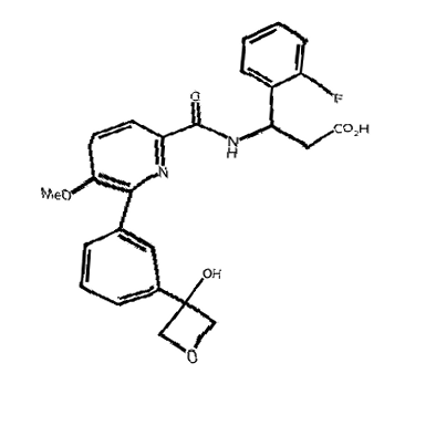 COc1ccc(C(=O)NC(CC(=O)O)c2ccccc2F)nc1-c1cccc(C2(O)COC2)c1